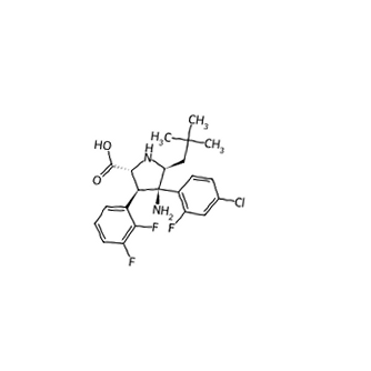 CC(C)(C)C[C@@H]1N[C@@H](C(=O)O)[C@H](c2cccc(F)c2F)[C@@]1(N)c1ccc(Cl)cc1F